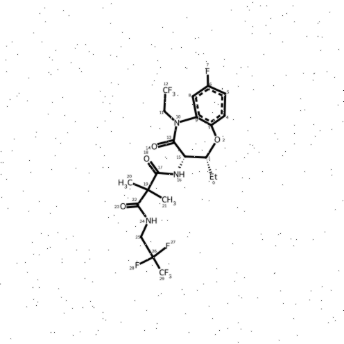 CC[C@H]1Oc2ccc(F)cc2N(CC(F)(F)F)C(=O)[C@H]1NC(=O)C(C)(C)C(=O)NCC(F)(F)C(F)(F)F